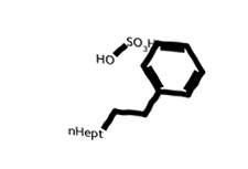 CCCCCCCCCc1ccccc1.O=S(=O)(O)O